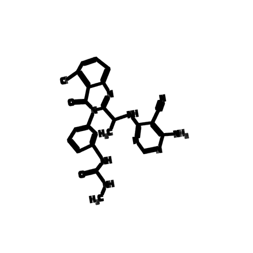 CNC(=O)Nc1cccc(-n2c(C(C)Nc3ncnc(N)c3C#N)nc3cccc(Cl)c3c2=O)c1